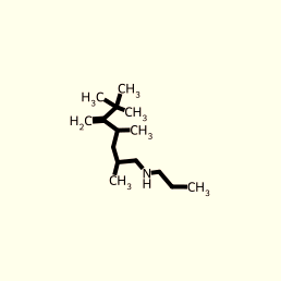 C=C(C(C)CC(C)CNCCC)C(C)(C)C